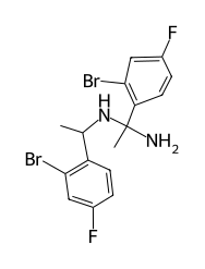 CC(NC(C)(N)c1ccc(F)cc1Br)c1ccc(F)cc1Br